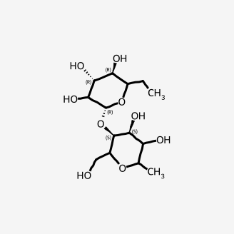 CCC1O[C@H](O[C@@H]2C(CO)OC(C)C(O)[C@@H]2O)C(O)[C@H](O)[C@H]1O